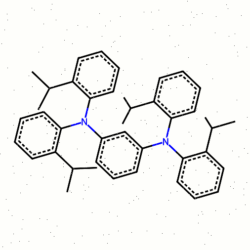 CC(C)c1ccccc1N(c1cccc(N(c2ccccc2C(C)C)c2ccccc2C(C)C)c1)c1ccccc1C(C)C